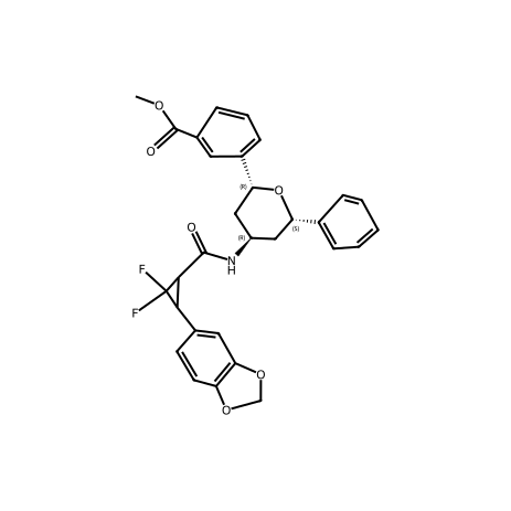 COC(=O)c1cccc([C@H]2C[C@H](NC(=O)C3C(c4ccc5c(c4)OCO5)C3(F)F)C[C@@H](c3ccccc3)O2)c1